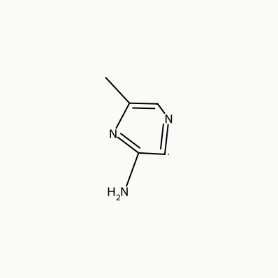 Cc1cn[c]c(N)n1